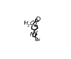 CC1(N2CCC(n3cc(Br)cn3)CC2)COC1